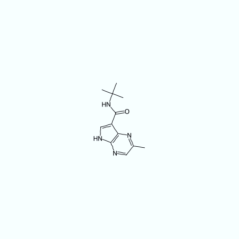 Cc1cnc2[nH]cc(C(=O)NC(C)(C)C)c2n1